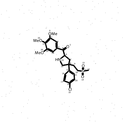 COc1cc(C(=O)C2CC(CCS(C)(=O)=O)(c3ccc(Cl)cc3)CN2)cc(OC)c1OC